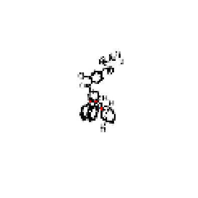 Cc1nc2ccccc2n1[C@H]1C[C@H]2CC[C@@H](C1)N2CCC1(c2ccccc2)CCN(C(=O)c2ccc(S(N)(=O)=O)cc2Cl)CC1